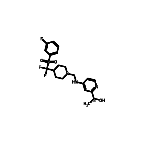 C[C@H](O)c1cc(NCN2CCC(C(F)(F)S(=O)(=O)c3cccc(F)c3)CC2)ccn1